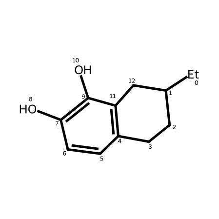 CCC1CCc2ccc(O)c(O)c2C1